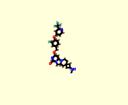 CNC1CC2(CCN3c4cc(OCc5ccc(Oc6ccnc(C(F)(F)F)c6)c(F)c5)nc(=O)n4CC3C2)C1